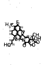 CC[C@@]1(O)C(=O)OCc2c1cc1n(c2=O)Cc2c-1nc1cc(F)c(C)c3c1c2C(NCCO)CC3